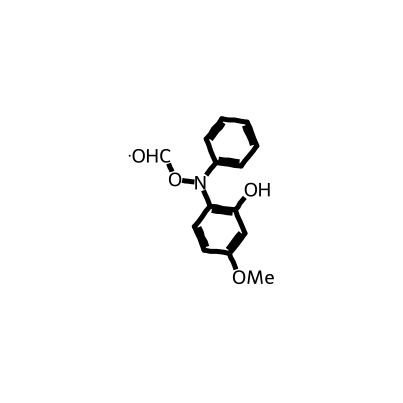 COc1ccc(N(O[C]=O)c2ccccc2)c(O)c1